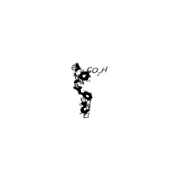 CC1(c2ccc(Cl)cn2)Oc2cccc(CC3CN(Cc4nc5ccc(C(=O)O)cc5n4C[C@@H]4CCO4)C3)c2O1